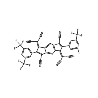 Cc1cc(C2=C(C#N)c3cc4c(cc3C2=C(C#N)C#N)C(C#N)=C(c2cc(C(F)(F)F)cc(C(F)(F)F)c2)C4=C(C#N)C#N)cc(C(F)(F)F)c1